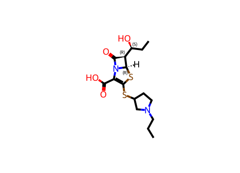 CCCN1CCC(SC2=C(C(=O)O)N3C(=O)[C@@H]([C@@H](O)CC)[C@H]3S2)C1